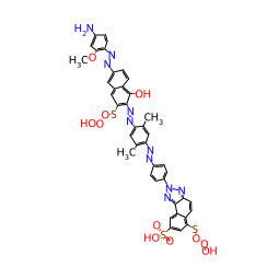 COc1cc(N)ccc1N=Nc1ccc2c(O)c(N=Nc3cc(C)c(N=Nc4ccc(-n5nc6ccc7c(SOOO)cc(S(=O)(=O)O)cc7c6n5)cc4)cc3C)c(SOOO)cc2c1